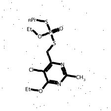 CCCSP(=O)(OCC)SCc1nc(C)nc(OCC)c1Cl